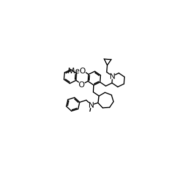 COc1ccc(CC2CCCCN2CC2CC2)c(CC2CCCCCC2N(C)Cc2ccccc2)c1Oc1ccccc1